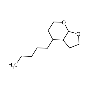 CCCCCC1CCOC2OCCC12